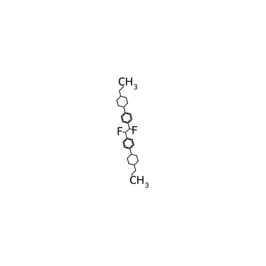 CCCC1CCC(c2ccc(C(F)C(F)c3ccc(C4CCC(CCC)CC4)cc3)cc2)CC1